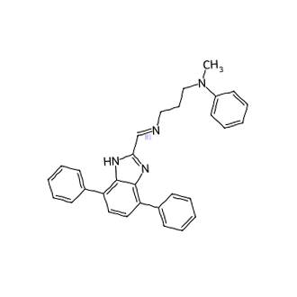 CN(CCC/N=C/c1nc2c(-c3ccccc3)ccc(-c3ccccc3)c2[nH]1)c1ccccc1